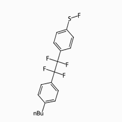 CCCCc1ccc(C(F)(F)C(F)(F)c2ccc(SF)cc2)cc1